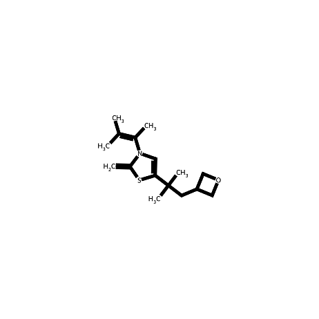 C=C1SC(C(C)(C)CC2COC2)=CN1C(C)=C(C)C